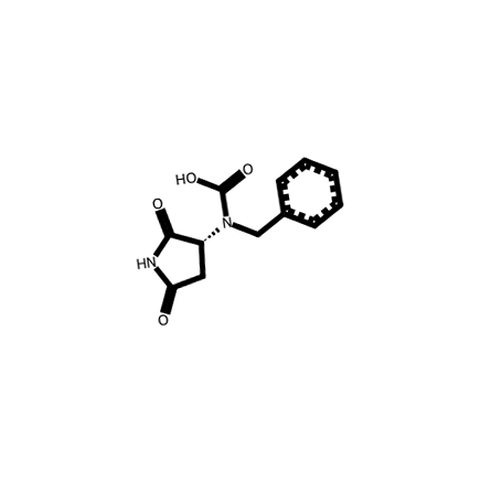 O=C1C[C@@H](N(Cc2ccccc2)C(=O)O)C(=O)N1